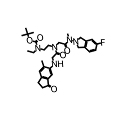 CCN(CCN(CC(=O)N(C)N1Cc2ccc(F)cc2C1)C(=O)CNc1cc2c(cc1C)CCC2=O)C(=O)OC(C)(C)C